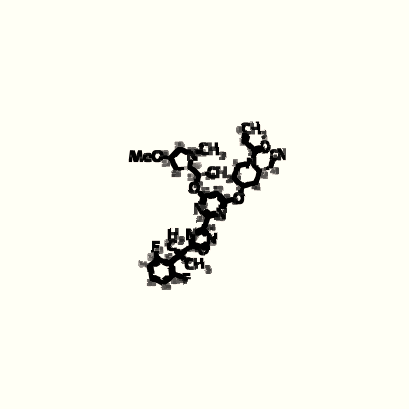 C=CC(=O)N1CC[C@H](Oc2cc(O[C@@H](C)[C@@H]3C[C@@H](OC)CN3C)nc(-c3noc(C(C)(C)c4c(F)cccc4F)n3)n2)C[C@H]1CC#N